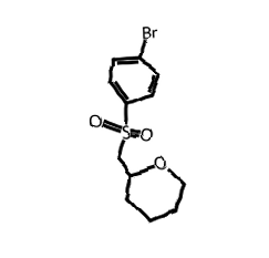 O=S(=O)(CC1CCCCO1)c1ccc(Br)cc1